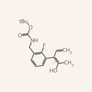 C=C/C(=C(\C)O)c1cccc(CNC(=O)OC(C)(C)C)c1F